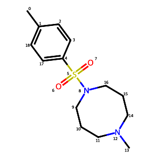 Cc1ccc(S(=O)(=O)N2CCCN(C)CCC2)cc1